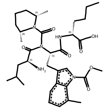 CCCC[C@@H](NC(=O)[C@H](Cc1cn(C(=O)OC)c2c(C)cccc12)N(C(=O)[C@@H](N)CC(C)C)C(=O)N1[C@H](C)CCC[C@@H]1C)C(=O)O